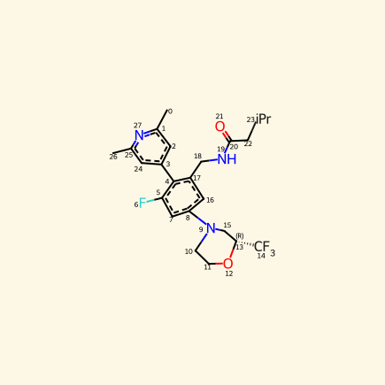 Cc1cc(-c2c(F)cc(N3CCO[C@@H](C(F)(F)F)C3)cc2CNC(=O)CC(C)C)cc(C)n1